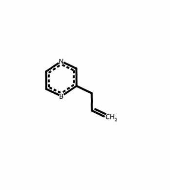 C=CCc1bccnc1